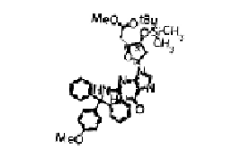 COC(=O)C[C@H]1O[C@@H](n2cnc3c(=O)[nH]c(NC(c4ccccc4)(c4ccccc4)c4ccc(OC)cc4)nc32)C[C@@H]1O[Si](C)(C)C(C)(C)C